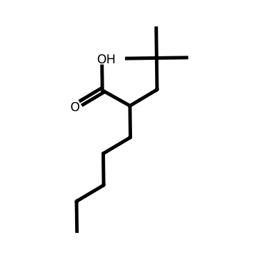 CCCCCC(CC(C)(C)C)C(=O)O